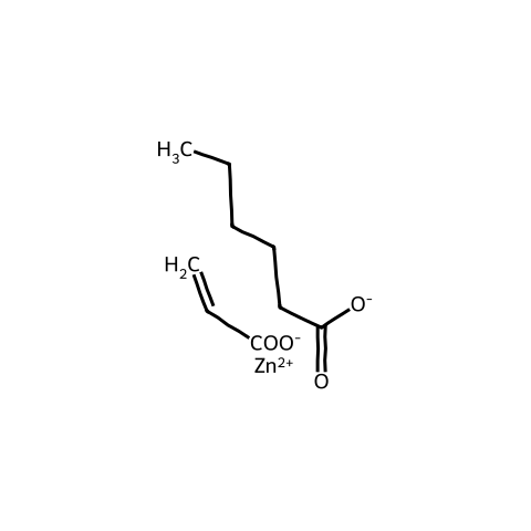 C=CC(=O)[O-].CCCCCC(=O)[O-].[Zn+2]